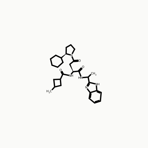 CC1CC(C(=O)N[C@@H](CC(=O)N2CCC[C@@H]2C2CCCCC2)C(=O)NC(C)c2nc3ccccc3[nH]2)C1